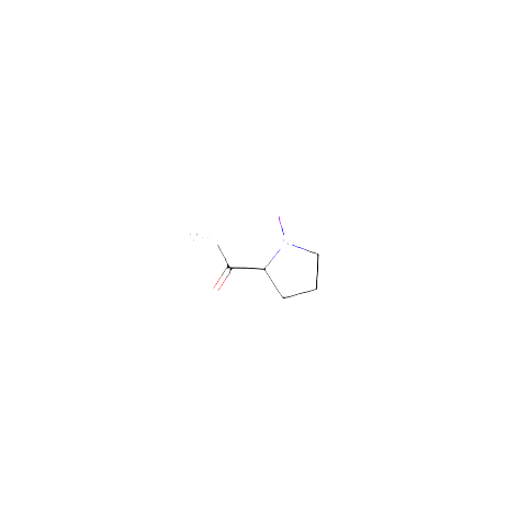 COC(=O)C1CCCN1I